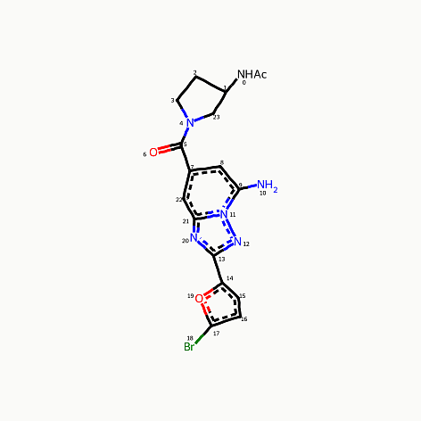 CC(=O)NC1CCN(C(=O)c2cc(N)n3nc(-c4ccc(Br)o4)nc3c2)C1